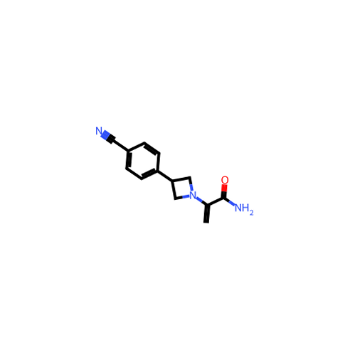 C=C(C(N)=O)N1CC(c2ccc(C#N)cc2)C1